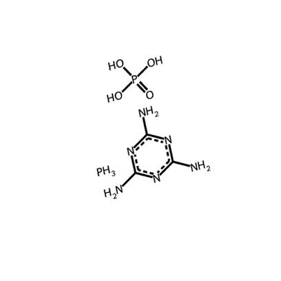 Nc1nc(N)nc(N)n1.O=P(O)(O)O.P